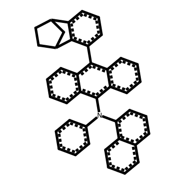 c1ccc(N(c2cccc3ccccc23)c2c3ccccc3c(-c3cccc4c3C3CCC4C3)c3ccccc23)cc1